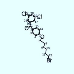 O=C(c1ccc(OCCCCCCBr)cc1)c1cc(Cl)cc(Cl)c1